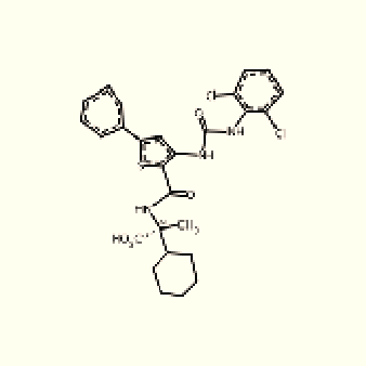 C[C@@](NC(=O)c1sc(-c2ccccc2)cc1NC(=O)Nc1c(Cl)cccc1Cl)(C(=O)O)C1CCCCC1